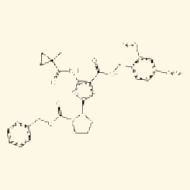 COc1ccc(CNC(=O)c2nc([C@H]3CCCN3C(=O)OCc3ccccc3)sc2NC(=O)C2(C)CC2)c(OC)c1